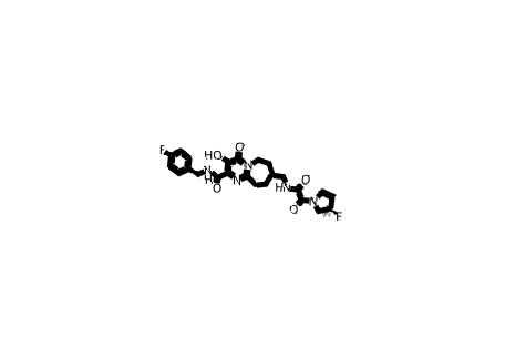 O=C(NCC1CCc2nc(C(=O)NCc3ccc(F)cc3)c(O)c(=O)n2CC1)C(=O)N1CC[C@@H](F)C1